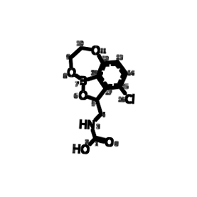 O=C(O)NCC1OB2OCCOc3ccc(Cl)c1c32